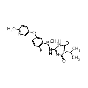 Cc1ccc(Oc2ccc(F)c([C@H](C)Nc3nc(=O)n(C(C)C)c(=O)[nH]3)c2)cn1